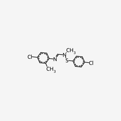 Cc1cc(Cl)ccc1N=CN(C)Sc1ccc(Cl)cc1